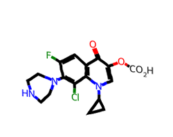 O=C(O)Oc1cn(C2CC2)c2c(Cl)c(N3CCNCC3)c(F)cc2c1=O